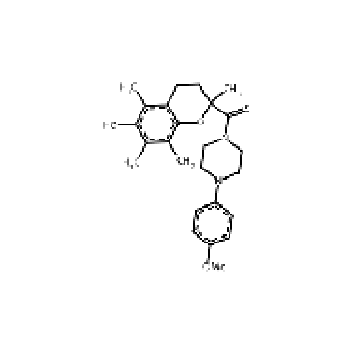 COc1ccc(N2CCN(C(=S)C3(C)CCc4c(C)c(O)c(C)c(C)c4O3)CC2)cc1